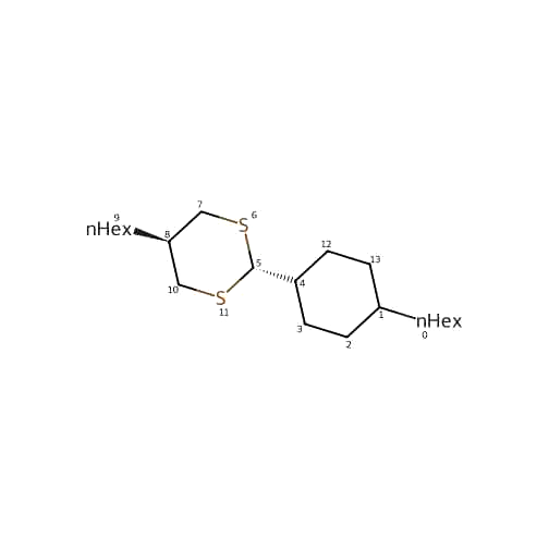 CCCCCCC1CCC([C@H]2SC[C@H](CCCCCC)CS2)CC1